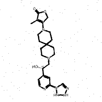 CC1=C(N2CCC3(CCN(C[C@@H](O)c4ccnc(N5C=NNN5)c4)CC3)CC2)COC1=O